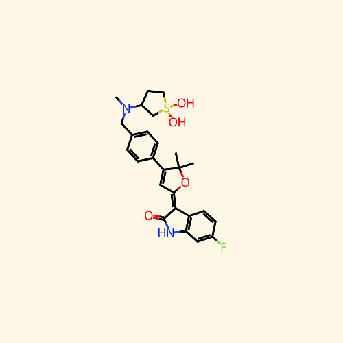 CN(Cc1ccc(C2=C/C(=C3\C(=O)Nc4cc(F)ccc43)OC2(C)C)cc1)C1CCS(O)(O)C1